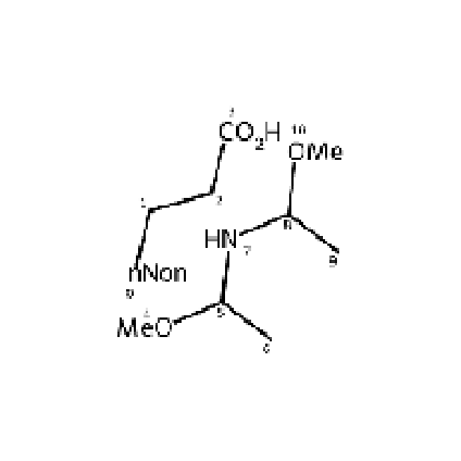 CCCCCCCCCCCC(=O)O.COC(C)NC(C)OC